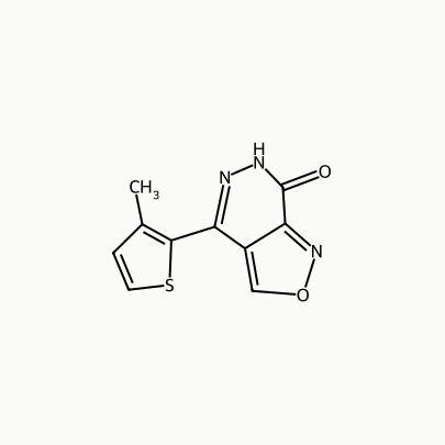 Cc1ccsc1-c1n[nH]c(=O)c2nocc12